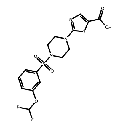 O=C(O)c1cnc(N2CCN(S(=O)(=O)c3cccc(OC(F)F)c3)CC2)s1